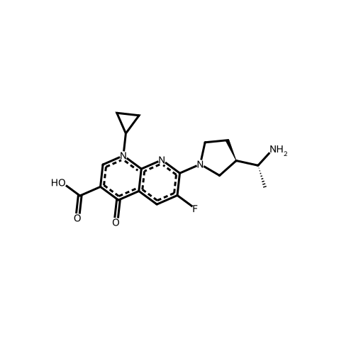 C[C@@H](N)[C@@H]1CCN(c2nc3c(cc2F)c(=O)c(C(=O)O)cn3C2CC2)C1